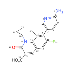 Cc1c(-c2ccc(N)nc2)c(F)cc2cc(C(=O)O)c(=O)n(C3CC3)c12